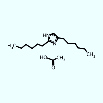 CC(=O)O.CCCCCCc1c[nH]c(CCCCCC)n1